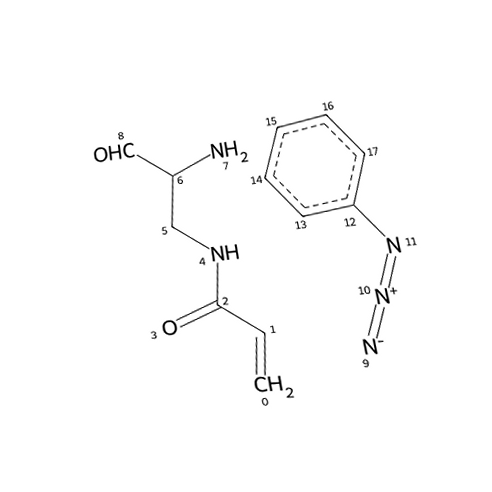 C=CC(=O)NCC(N)C=O.[N-]=[N+]=Nc1ccccc1